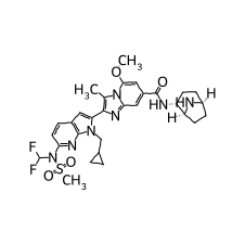 COc1cc(C(=O)N[C@@H]2CC[C@H]3CC[C@@H]2N3)cc2nc(-c3cc4ccc(N(C(F)F)S(C)(=O)=O)nc4n3CC3CC3)c(C)n12